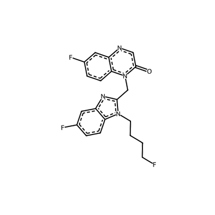 O=c1cnc2cc(F)ccc2n1Cc1nc2cc(F)ccc2n1CCCCF